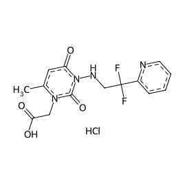 Cc1cc(=O)n(NCC(F)(F)c2ccccn2)c(=O)n1CC(=O)O.Cl